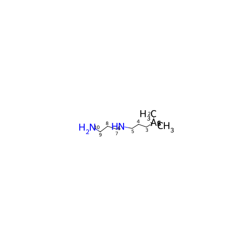 C[As](C)CCCNCCCN